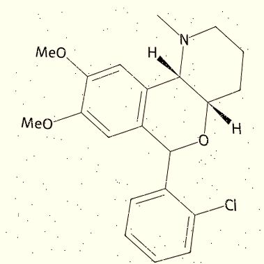 COc1cc2c(cc1OC)[C@H]1[C@H](CCCN1C)OC2c1ccccc1Cl